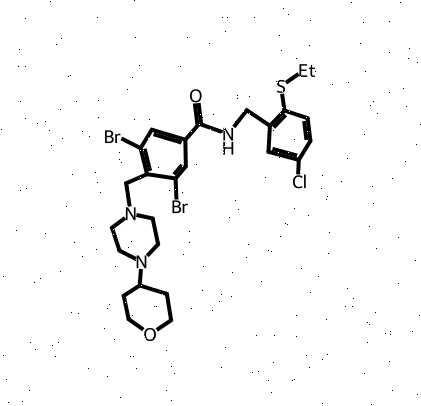 CCSc1ccc(Cl)cc1CNC(=O)c1cc(Br)c(CN2CCN(C3CCOCC3)CC2)c(Br)c1